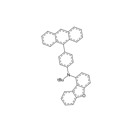 CC(C)(C)N(c1ccc(-c2c3ccccc3cc3ccccc23)cc1)c1cccc2oc3ccccc3c12